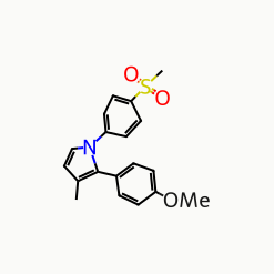 COc1ccc(-c2c(C)ccn2-c2ccc(S(C)(=O)=O)cc2)cc1